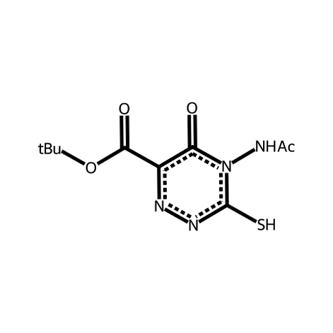 CC(=O)Nn1c(S)nnc(C(=O)OC(C)(C)C)c1=O